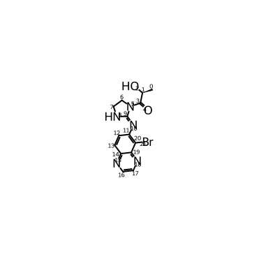 C[C@H](O)C(=O)N1CCN/C1=N\c1ccc2nccnc2c1Br